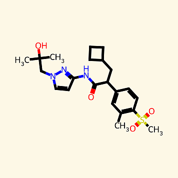 Cc1cc(C(CC2CCC2)C(=O)Nc2ccn(CC(C)(C)O)n2)ccc1S(C)(=O)=O